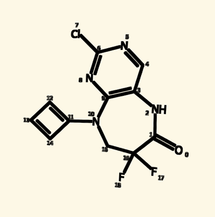 O=C1Nc2cnc(Cl)nc2N(C2=CC=C2)CC1(F)F